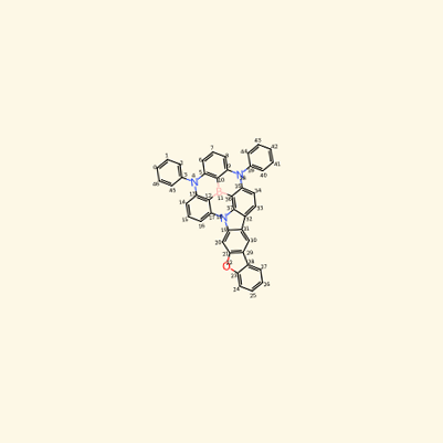 c1ccc(N2c3cccc4c3B3c5c2cccc5-n2c5cc6oc7ccccc7c6cc5c5ccc(c3c52)N4c2ccccc2)cc1